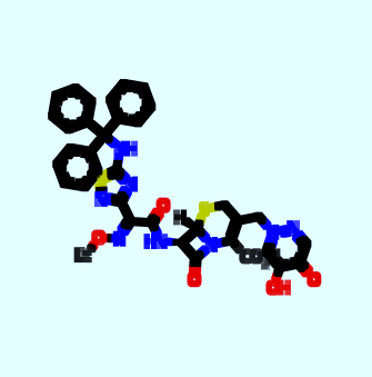 CCON=C(C(=O)N[C@@H]1C(=O)N2C(C(=O)O)=C(Cn3cc(O)c(=O)cn3)CS[C@@H]12)c1nsc(NC(c2ccccc2)(c2ccccc2)c2ccccc2)n1